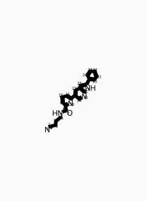 N#CCCCNC(=O)c1cccc(-c2cnc3[nH]c(-c4ccccc4)cc3c2)n1